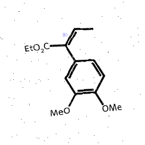 C/C=C(/C(=O)OCC)c1ccc(OC)c(OC)c1